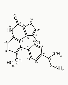 CC(CN)c1ccc(-c2c(O)ccc3[nH]c(=O)c4scc(Cl)c4c23)cc1.Cl